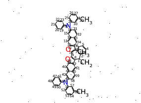 C=C(c1ccccc1)c1c(-c2oc3cc4cc(N(c5ccccc5)c5cccc(C)c5)ccc4cc3c2C)oc2cc3cc(N(c4ccccc4)c4cccc(C)c4)ccc3cc12